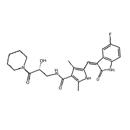 Cc1[nH]c(/C=C2\C(=O)Nc3ccc(F)cc32)c(C)c1C(=O)NC[C@@H](O)C(=O)N1CCCCC1